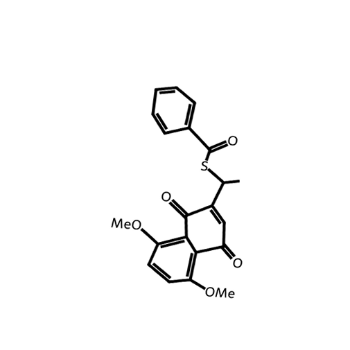 COc1ccc(OC)c2c1C(=O)C=C(C(C)SC(=O)c1ccccc1)C2=O